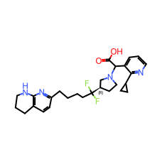 O=C(O)C(c1cccnc1C1CC1)N1CC[C@@H](C(F)(F)CCCCc2ccc3c(n2)NCCC3)C1